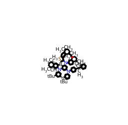 CC(C)(C)c1ccc(N(c2ccc(C(C)(C)c3ccccc3)cc2)c2cc3c4c(c2)N2c5ccc6c(c5)C(C)(CCC6(C)C)CC5(C)CCC(C)(C)c6cc7sc(c2c7cc65)B4c2cc4c(cc2N3c2cc(C(C)(C)C)cc(C(C)(C)C)c2)C(C)(C)CCC4(C)C)cc1